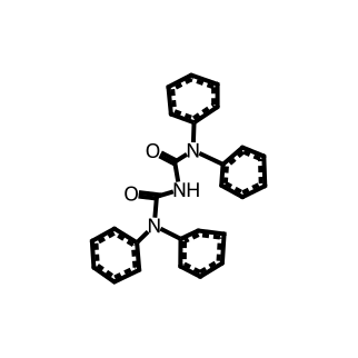 O=C(NC(=O)N(c1ccccc1)c1ccccc1)N(c1ccccc1)c1ccccc1